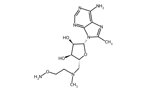 Cc1nc2c(N)ncnc2n1[C@@H]1O[C@H](CN(C)CCON)[C@@H](O)[C@H]1O